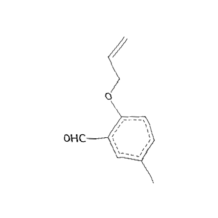 C=CCOc1ccc(C)cc1C=O